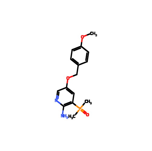 COc1ccc(COc2cnc(N)c(P(C)(C)=O)c2)cc1